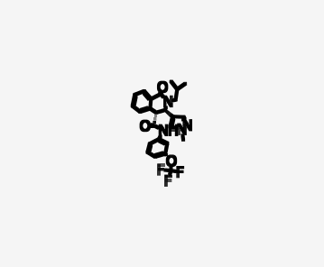 CC(C)CN1C(=O)c2ccccc2[C@@H](C(=O)Nc2cccc(OC(F)(F)F)c2)[C@@H]1c1cnn(C)c1